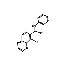 CC(C)C(Nc1ccccn1)c1ccc2cccnc2c1O